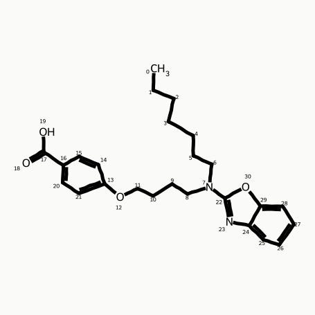 CCCCCCCN(CCCCOc1ccc(C(=O)O)cc1)c1nc2ccccc2o1